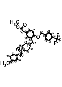 COC(=O)Cc1ccc(OCc2ccc(C(F)(F)F)cc2)c(CN2CCN(S(=O)(=O)c3ccc(C)cc3)CC2)c1